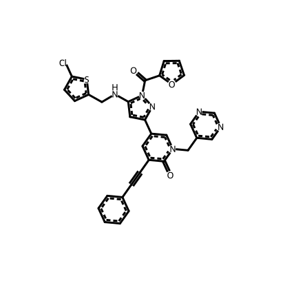 O=C(c1ccco1)n1nc(-c2cc(C#Cc3ccccc3)c(=O)n(Cc3cncnc3)c2)cc1NCc1ccc(Cl)s1